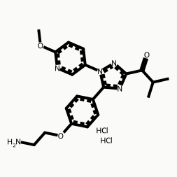 COc1ccc(-n2nc(C(=O)C(C)C)nc2-c2ccc(OCCN)cc2)cn1.Cl.Cl